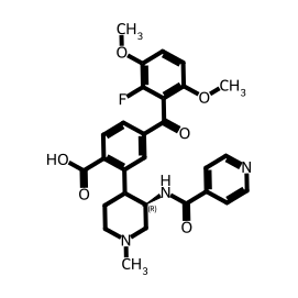 COc1ccc(OC)c(C(=O)c2ccc(C(=O)O)c(C3CCN(C)C[C@@H]3NC(=O)c3ccncc3)c2)c1F